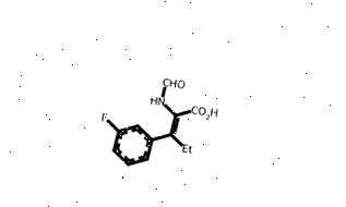 CCC(=C(NC=O)C(=O)O)c1cccc(F)c1